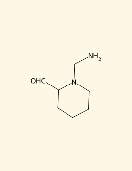 NCN1CCCCC1C=O